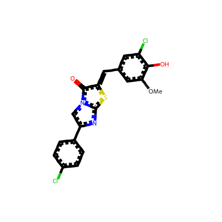 COc1cc(/C=c2\sc3nc(-c4ccc(Cl)cc4)cn3c2=O)cc(Cl)c1O